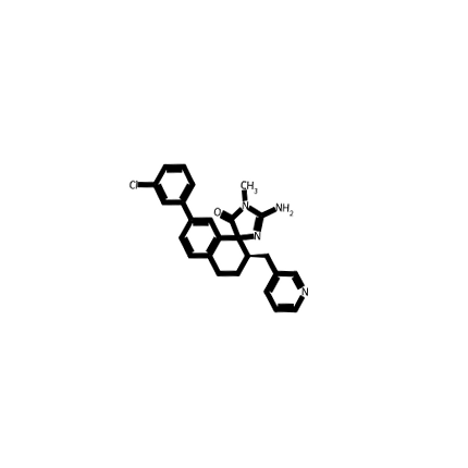 CN1C(=O)C2(N=C1N)c1cc(-c3cccc(Cl)c3)ccc1CC[C@@H]2Cc1cccnc1